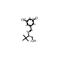 CC(C)(C)[C@H](CO)/N=C/c1cc(Cl)cc(Cl)c1